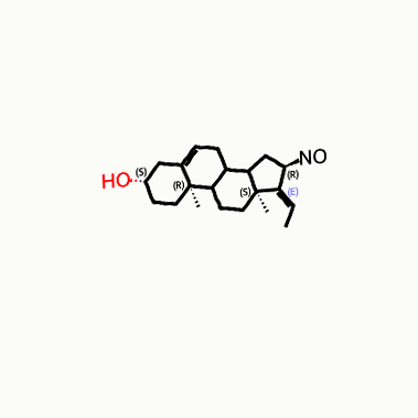 C/C=C1/[C@H](N=O)CC2C3CC=C4C[C@@H](O)CC[C@]4(C)C3CC[C@]12C